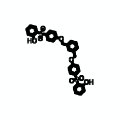 O=S(=O)(c1ccc(OCc2cccc(COc3ccc(S(=O)(=O)c4ccccc4O)cc3)c2)cc1)c1ccccc1O